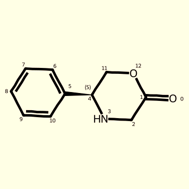 O=C1CN[C@@H](c2ccccc2)CO1